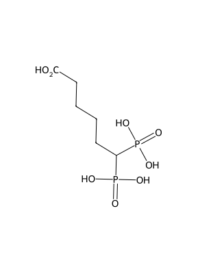 O=C(O)CCCCC(P(=O)(O)O)P(=O)(O)O